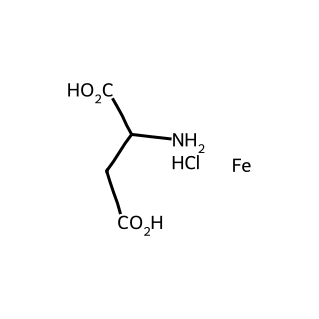 Cl.NC(CC(=O)O)C(=O)O.[Fe]